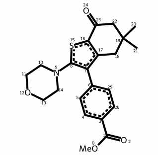 COC(=O)c1ccc(-c2c(N3CCOCC3)sc3c2CC(C)(C)CC3=O)cc1